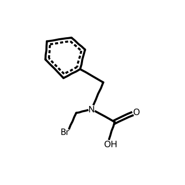 O=C(O)N(CBr)Cc1ccccc1